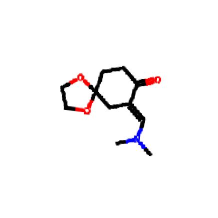 CN(C)C=C1CC2(CCC1=O)OCCO2